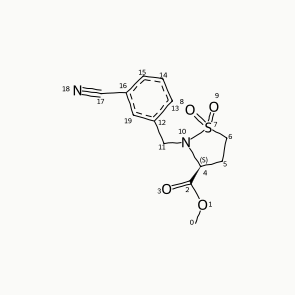 COC(=O)[C@@H]1CCS(=O)(=O)N1Cc1cccc(C#N)c1